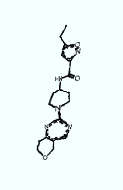 CCc1cc(C(=O)NC2CCN(c3ncc4c(n3)CCOC4)CC2)no1